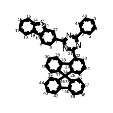 c1ccc(-c2nc(-c3ccc4c(c3)sc3ccccc34)nc(-c3cccc4c3-c3ccccc3C43c4ccccc4-c4ccccc43)n2)cc1